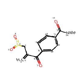 C=C(C[SH](=O)=O)C(=O)c1ccc(C(=O)NC)cc1